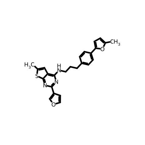 Cc1ccc(-c2ccc(CCCNc3nc(-c4ccoc4)nc4sc(C)cc34)cc2)o1